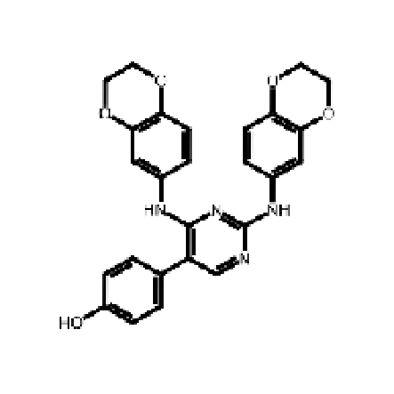 Oc1ccc(-c2cnc(Nc3ccc4c(c3)OCCO4)nc2Nc2ccc3c(c2)OCCO3)cc1